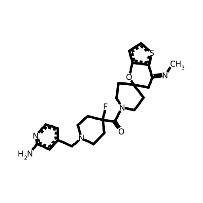 C/N=C1/CC2(CCN(C(=O)C3(F)CCN(Cc4ccnc(N)c4)CC3)CC2)Oc2ccsc21